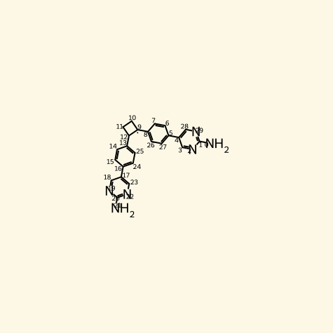 Nc1ncc(-c2ccc([C]3CCC3c3ccc(-c4cnc(N)nc4)cc3)cc2)cn1